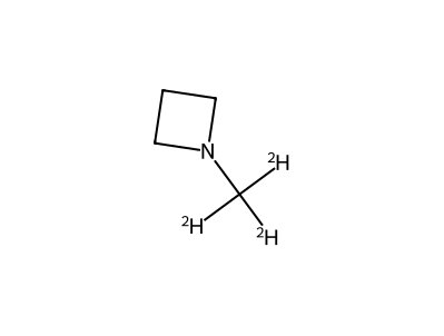 [2H]C([2H])([2H])N1CCC1